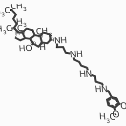 COc1ccc(CNCCCNCCCCNCCCN[C@H]2CC[C@]3(C)C4CC[C@@]5(C)C(CC[C@@H]5[C@H](C)CCCC(C)C)C4[C@H](O)C[C@H]3C2)cc1O